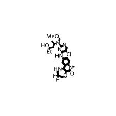 CCC(O)CC(C)N(COC)c1ncc(Cl)c(Nc2ccc3c(c2)c2c(c(=O)n3C)OCC(F)(F)CN2)n1